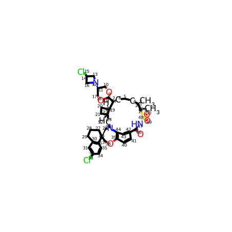 C[C@@H]1[C@@H](C)CCC[C@H]([C@H]2OC[C@H](N3CC(Cl)C3)CO2)[C@@H]2CC[C@H]2CN2C[C@@]3(CCCc4cc(Cl)ccc43)COc3ccc(cc32)C(=O)NS1(=O)=O